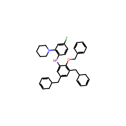 Fc1ccc(Pc2cc(CC3C=CC=CC3)cc(CC3C=CC=CC3)c2OCc2ccccc2)c(N2CCCCC2)c1